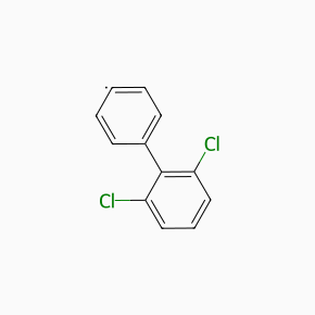 Clc1cccc(Cl)c1-c1cc[c]cc1